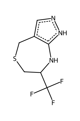 FC(F)(F)C1CSCc2cn[nH]c2N1